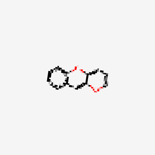 C1=COC2=Cc3ccccc3OC2=C1